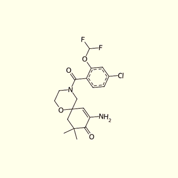 CC1(C)CC2(C=C(N)C1=O)CN(C(=O)c1ccc(Cl)cc1OC(F)F)CCO2